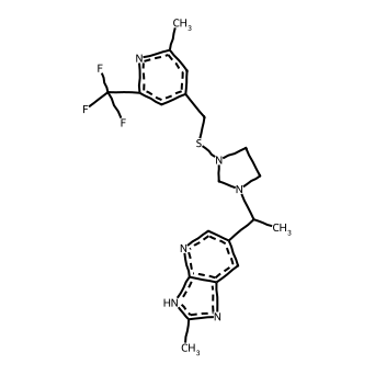 Cc1cc(CSN2CCN(C(C)c3cnc4[nH]c(C)nc4c3)C2)cc(C(F)(F)F)n1